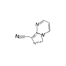 N#Cc1ncn2cccnc12